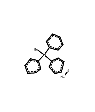 CCCC[P+](c1ccccc1)(c1ccccc1)c1ccccc1.N#C[S-]